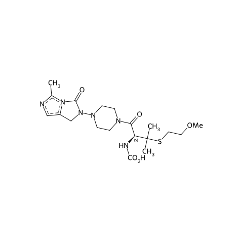 COCCSC(C)(C)[C@@H](NC(=O)O)C(=O)N1CCN(N2Cc3cnc(C)n3C2=O)CC1